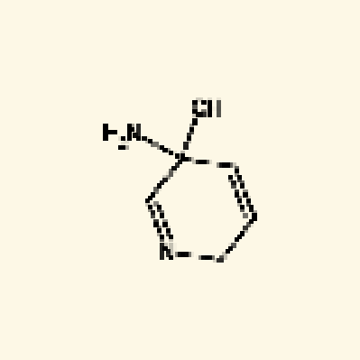 NC1(O)C=CCN=C1